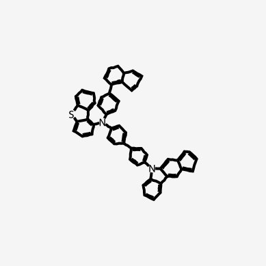 C1=CC2=C(c3ccc(N(c4ccc(-c5ccc(-n6c7ccccc7c7cc8ccccc8cc76)cc5)cc4)c4cccc5sc6ccccc6c45)cc3)C=CCC2C=C1